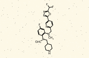 CN(Cc1ccc(-c2nnc(C(F)F)o2)cn1)c1cc(F)ccc1N(C=O)CC1CCNCC1